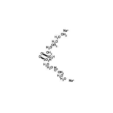 O.O.O.O.O.O.O.O.O.O.O.O.O=S(=O)([O-])O.O=S(=O)([O-])O.[Na+].[Na+]